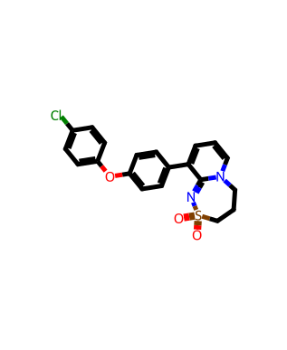 O=S1(=O)CCCN2C=CC=C(c3ccc(Oc4ccc(Cl)cc4)cc3)C2=N1